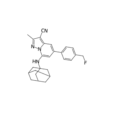 Cc1nn2c(NC34CC5CC(CC(C5)C3)C4)cc(-c3ccc(CF)cc3)cc2c1C#N